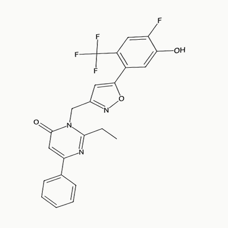 CCc1nc(-c2ccccc2)cc(=O)n1Cc1cc(-c2cc(O)c(F)cc2C(F)(F)F)on1